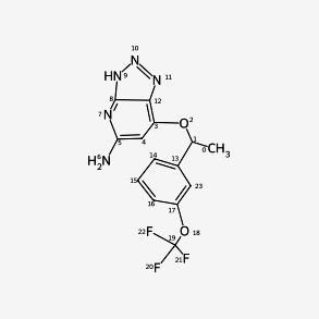 CC(Oc1cc(N)nc2[nH]nnc12)c1cccc(OC(F)(F)F)c1